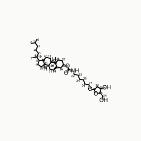 CC(C)CCC[C@H](C)C1CC[C@@H]2C3CC=C4C[C@@H](OC(=O)NCCCCCCOC5CC(O)[C@@H](CO)O5)CC[C@]4(C)[C@@H]3CC[C@]12C